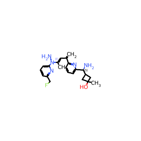 C=C(/C=C(\C)N(N)c1cccc(CF)n1)c1cccc([C@@H](N)C2CC(C)(O)C2)n1